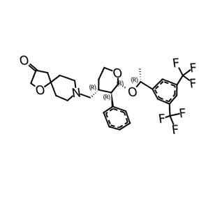 C[C@@H](O[C@H]1OCC[C@@H](CN2CCC3(CC2)CC(=O)CO3)[C@@H]1c1ccccc1)c1cc(C(F)(F)F)cc(C(F)(F)F)c1